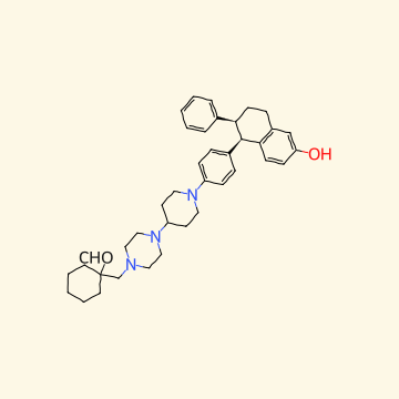 O=CC1(CN2CCN(C3CCN(c4ccc([C@@H]5c6ccc(O)cc6CC[C@@H]5c5ccccc5)cc4)CC3)CC2)CCCCC1